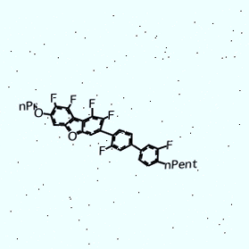 CCCCCc1ccc(-c2ccc(-c3cc4oc5cc(OCCC)c(F)c(F)c5c4c(F)c3F)c(F)c2)cc1F